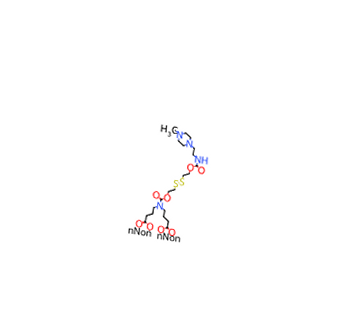 CCCCCCCCCOC(=O)CCCN(CCCC(=O)OCCCCCCCCC)C(=O)OCCSSCCOC(=O)NCCN1CCN(C)CC1